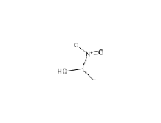 [CH2]C(O)[N+](=O)[O-]